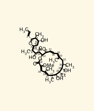 C/C=C/[C@H]1OC([C@@H](C)[C@H](O)[C@H](C)C2OC(=O)/C(OC)=C/C(C)=C/[C@@H](C)[C@@H](O)[C@@H](CC)[C@@H](O)[C@H](C)C/C(C)=C/C=C/[C@@H]2O)C[C@@H](O)[C@@H]1C